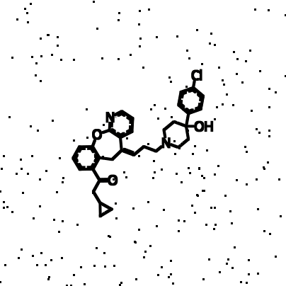 O=C(CC1CC1)c1cccc2c1C/C(=C/CCN1CCC(O)(c3ccc(Cl)cc3)CC1)c1cccnc1O2